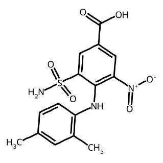 Cc1ccc(Nc2c([N+](=O)[O-])cc(C(=O)O)cc2S(N)(=O)=O)c(C)c1